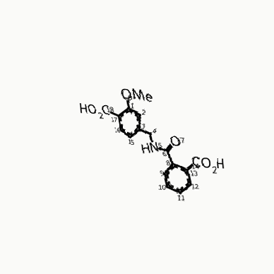 COc1cc(CNC(=O)c2ccccc2C(=O)O)ccc1C(=O)O